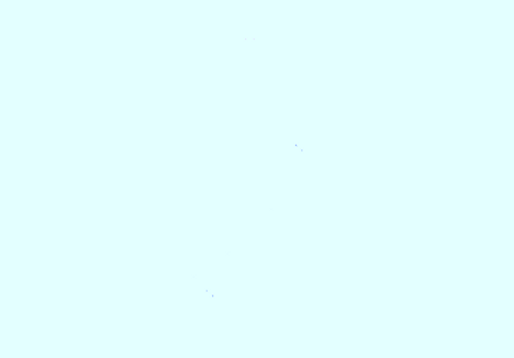 CCN1C=CC(C=Cc2ccc(N(C)CCCCS(=O)(=O)O)cc2)=CC1